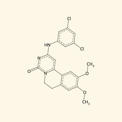 COc1cc2c(cc1OC)-c1cc(Nc3cc(Cl)cc(Cl)c3)nc(=O)n1CC2